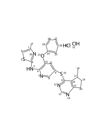 Cc1csc(Nc2ncc(Sc3ncnc4c3C(C)CC4)cc2Oc2ccccc2)n1.Cl.Cl